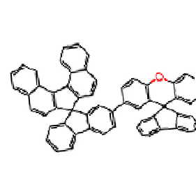 c1ccc2c(c1)Oc1ccc(-c3ccc4c(c3)C3(c5ccccc5-4)c4ccc5ccccc5c4-c4c3ccc3ccccc43)cc1C21c2ccccc2-c2ccccc21